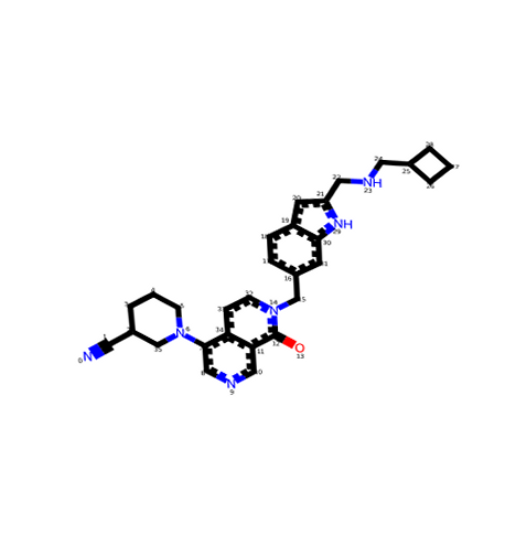 N#CC1CCCN(c2cncc3c(=O)n(Cc4ccc5cc(CNCC6CCC6)[nH]c5c4)ccc23)C1